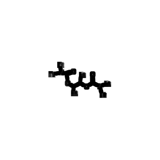 CCC(OC(=O)N(CC)CC)C(CC)OC(=O)N(CC)CC